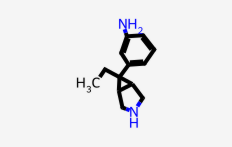 CCC1(c2cccc(N)c2)C2CNCC21